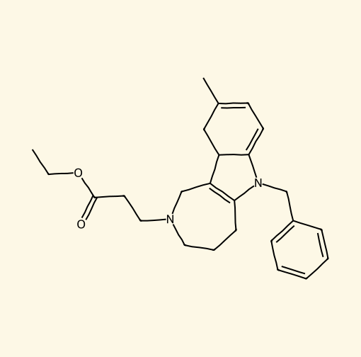 CCOC(=O)CCN1CCCC2=C(C1)C1CC(C)=CC=C1N2Cc1ccccc1